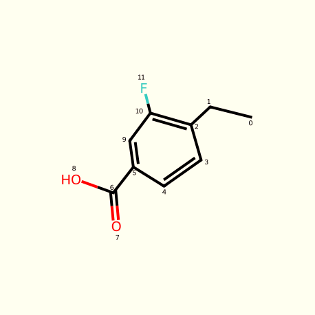 CCc1ccc(C(=O)O)cc1F